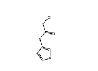 O=C(CCl)Cc1ccoc1